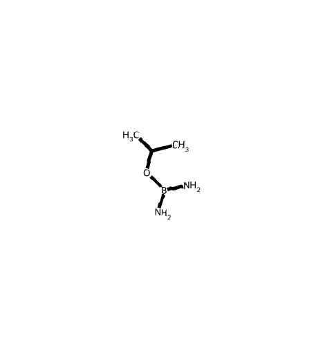 CC(C)OB(N)N